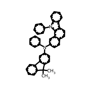 CC1(C)c2ccccc2-c2cc(N(c3ccccc3)c3ccc4ccc5c6ccccc6n(-c6ccccc6)c5c4c3)ccc21